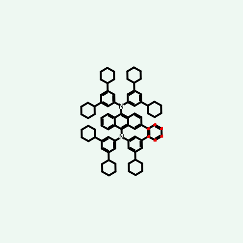 c1ccc(-c2ccc3c(N(c4cc(C5CCCCC5)cc(C5CCCCC5)c4)c4cc(C5CCCCC5)cc(C5CCCCC5)c4)c4ccccc4c(N(c4cc(C5CCCCC5)cc(C5CCCCC5)c4)c4cc(C5CCCCC5)cc(C5CCCCC5)c4)c3c2)cc1